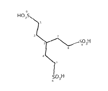 O=S(=O)(O)CCC(CCS(=O)(=O)O)CCS(=O)(=O)O